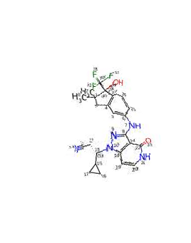 CC1(C)Cc2cc(Nc3nn([C@@H](CC#N)C4CC4)c4cc[nH]c(=O)c34)ccc2[C@@]1(O)C(F)(F)F